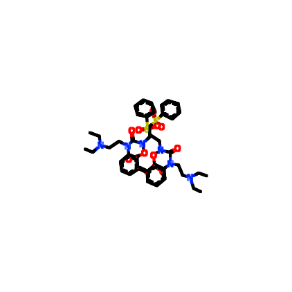 CCN(CC)CCN(C(=O)N(CCS(=O)(=O)c1ccccc1)OC(=O)/C=C\C(=O)ON(CCS(=O)(=O)c1ccccc1)C(=O)N(CCN(CC)CC)c1ccccc1)c1ccccc1